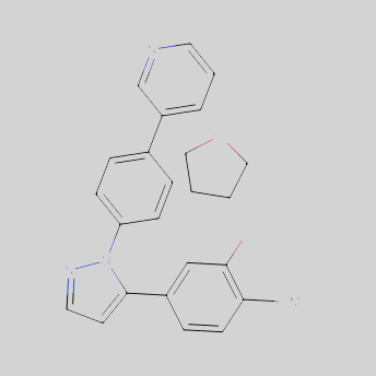 COc1ccc(-c2ccnn2-c2ccc(-c3cccnc3)cc2)cc1O[C@@H]1CCOC1